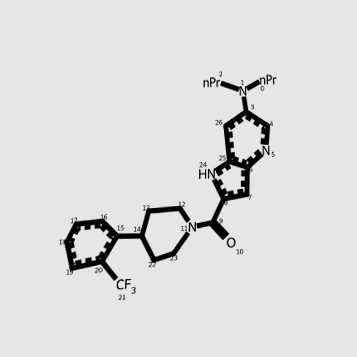 CCCN(CCC)c1cnc2cc(C(=O)N3CCC(c4ccccc4C(F)(F)F)CC3)[nH]c2c1